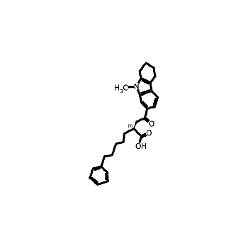 Cn1c2c(c3ccc(C(=O)C[C@H](CCCCCc4ccccc4)C(=O)O)cc31)CCCC2